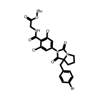 CC(C)(C)OC(=O)CNC(=O)c1c(Cl)cc(N2C(=O)N3CCCC3(Cc3ccc(Br)cc3)C2=O)cc1Cl